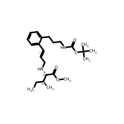 CC[C@H](C)[C@H](NC/C=C/c1ccccc1CCCNC(=O)OC(C)(C)C)C(=O)OC